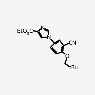 CCOC(=O)c1cn(-c2ccc(OCC(C)(C)C)c(C#N)c2)cn1